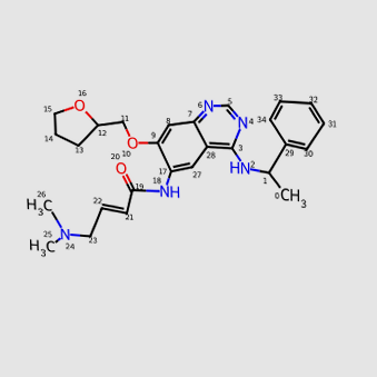 CC(Nc1ncnc2cc(OCC3CCCO3)c(NC(=O)C=CCN(C)C)cc12)c1ccccc1